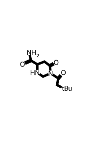 CC(C)(C)CC(=O)N1CNC(C(N)=O)CC1=O